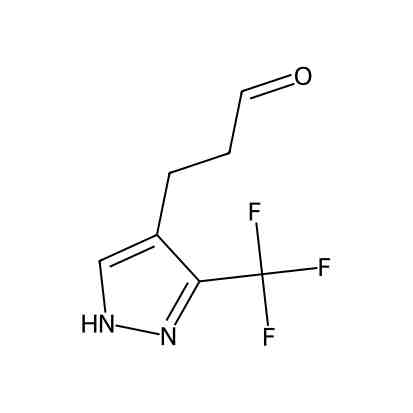 O=CCCc1c[nH]nc1C(F)(F)F